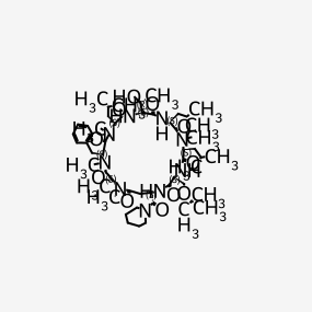 CC(C)C[C@@H]1NC(=O)[C@H]([C@@H](C)O)NC(=O)[C@H](CC(C)C)N(C)C(=O)[C@H](Cc2ccccc2)N(C)C(=O)[C@H](C)N(C)C(=O)C[C@@H](C(=O)N2CCCCC2)NC(=O)[C@H](COC(C)(C)C)NC(=O)[C@H](CC(C)C)N(C)C1=O